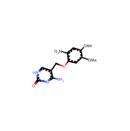 COc1cc(OCc2c[nH]c(=O)nc2N)c([N+](=O)[O-])cc1OC